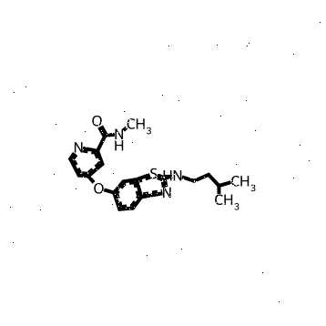 CNC(=O)c1cc(Oc2ccc3nc(NCCC(C)C)sc3c2)ccn1